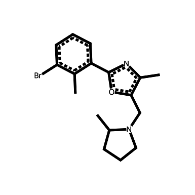 Cc1nc(-c2cccc(Br)c2C)oc1CN1CCCC1C